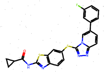 O=C(Nc1nc2ccc(Sc3nnc4ccc(-c5cccc(F)c5)cn34)cc2s1)C1CC1